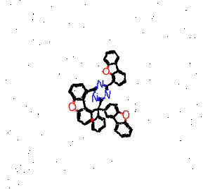 c1ccc(C2(c3ccc4oc5ccccc5c4c3)c3nc(-c4cccc5c4oc4ccccc45)nc(n3)-c3cccc4oc5cccc2c5c34)cc1